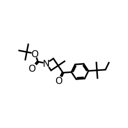 CCC(C)(C)c1ccc(C(=O)C2(C)CN(C(=O)OC(C)(C)C)C2)cc1